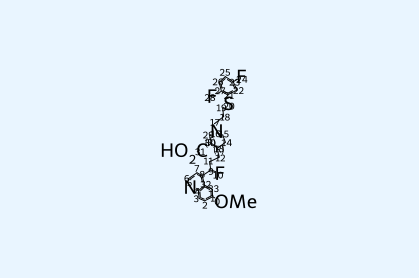 COc1ccc2nccc(C(F)CC[C@@H]3CCN(CCCSc4cc(F)ccc4F)C[C@@H]3C(=O)O)c2c1